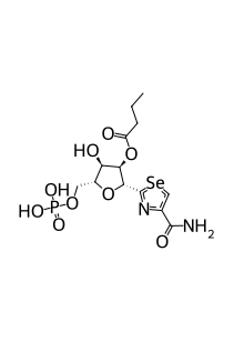 CCCC(=O)O[C@@H]1[C@H](O)[C@@H](COP(=O)(O)O)O[C@H]1c1nc(C(N)=O)c[se]1